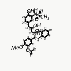 COc1ccc([C@@H](Cc2ccccc2Cl)NC[C@@H](O)Cc2ccc(O)c(NS(C)(=O)=O)c2)cc1OC(F)F